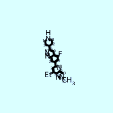 CCc1cc(-c2cc(F)c3cc(C4CCNCC4)nnc3c2)nc2cn(C)nc12